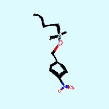 CCCC[Si](C)(C)OCc1ccc([N+](=O)[O-])cc1